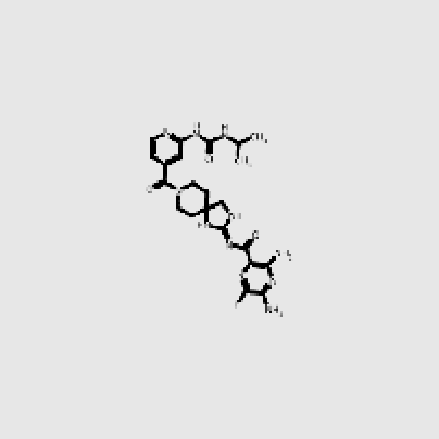 CC(C)NC(=O)Nc1cc(C(=O)N2CCC3(CC2)CN/C(=N\C(=O)c2nc(I)c(N)nc2N)N3)ccn1